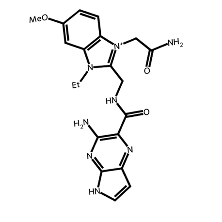 CCn1c(CNC(=O)c2nc3cc[nH]c3nc2N)[n+](CC(N)=O)c2ccc(OC)cc21